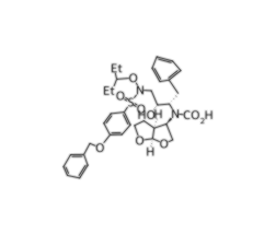 CCC(CC)ON(C[C@@H](O)[C@H](Cc1ccccc1)N(C(=O)O)[C@H]1CO[C@H]2OCC[C@H]21)S(=O)(=O)c1ccc(OCc2ccccc2)cc1